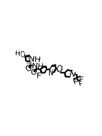 CC(C)(CN1CCC(COc2ccc(-c3ccc(C(=O)NC(=O)[C@@H]4C[C@@H](O)CN4)c(F)c3)nc2)CC1)C(F)(F)F